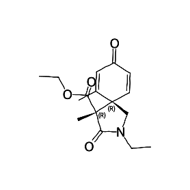 CCOC(=O)[C@@]1(C)C(=O)N(CC)C[C@@]12C=CC(=O)C=C2C